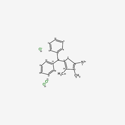 CC1=[C]([Ti+3])CC(C(c2ccccc2)c2ccccc2)=C1C.[Cl-].[Cl-].[Cl-]